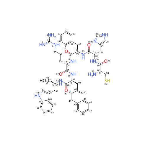 N=C(N)NCCC[C@H](NC(=O)[C@@H](Cc1ccccc1)NC(=O)[C@H](Cc1c[nH]cn1)NC(=O)[C@@H](N)CS)C(=O)N[C@@H](Cc1ccc2ccccc2c1)C(=O)N[C@@H](Cc1c[nH]c2ccccc12)C(=O)O